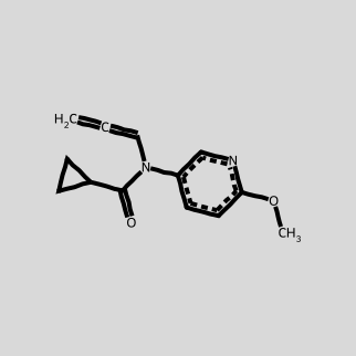 C=C=CN(C(=O)C1CC1)c1ccc(OC)nc1